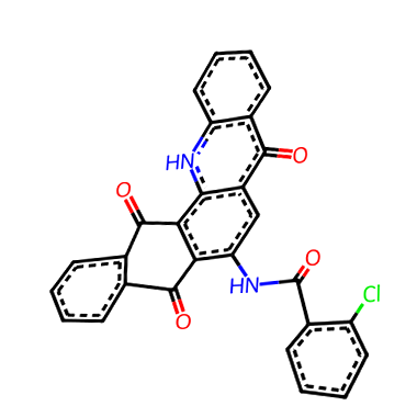 O=C(Nc1cc2c(=O)c3ccccc3[nH]c2c2c1C(=O)c1ccccc1C2=O)c1ccccc1Cl